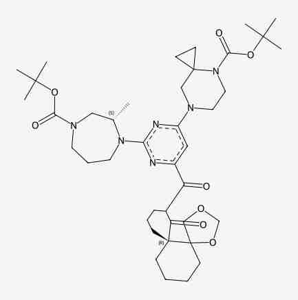 C[C@H]1CN(C(=O)OC(C)(C)C)CCCN1c1nc(C(=O)C2CCC[C@@]3(CCCCC34COCO4)C2=O)cc(N2CCN(C(=O)OC(C)(C)C)C3(CC3)C2)n1